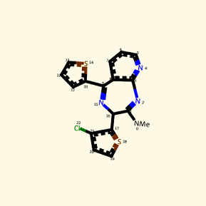 CNC1=Nc2ncccc2C(c2cccs2)=NC1c1sccc1Cl